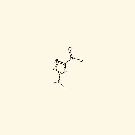 CN(C)c1cc([N+](=O)[O-])[nH]n1